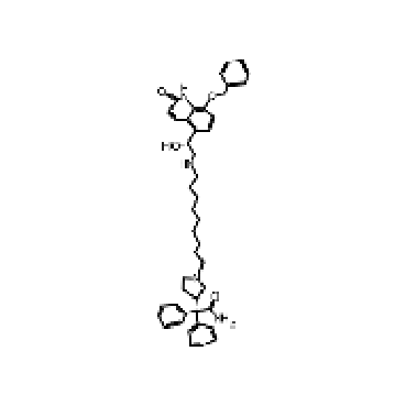 NC(=O)C(c1ccccc1)(c1ccccc1)[C@@H]1CCN(CCCCCCCCCNC[C@H](O)c2ccc(OCc3ccccc3)c3[nH]c(=O)ccc23)C1